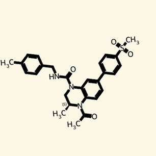 CC(=O)N1c2ccc(-c3ccc(S(C)(=O)=O)cc3)cc2N(C(=O)NCc2ccc(C)cc2)C[C@@H]1C